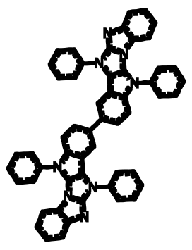 c1ccc(-n2c3c4cc(-c5ccc6c(c5)c5c(n6-c6ccccc6)n6c7ccccc7nc6n5-c5ccccc5)ccc4n(-c4ccccc4)c3n3c4ccccc4nc23)cc1